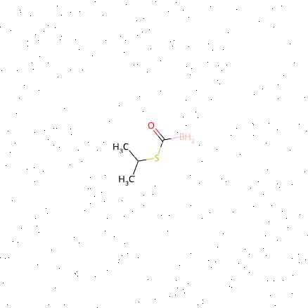 BC(=O)SC(C)C